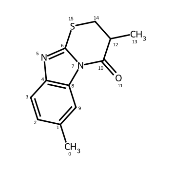 Cc1ccc2nc3n(c2c1)C(=O)C(C)CS3